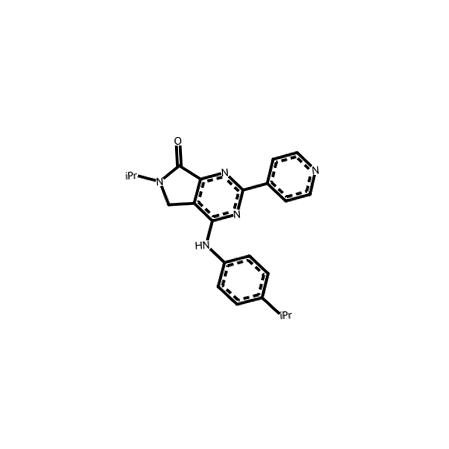 CC(C)c1ccc(Nc2nc(-c3ccncc3)nc3c2CN(C(C)C)C3=O)cc1